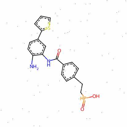 Nc1ccc(-c2cccs2)cc1NC(=O)c1ccc(CC[PH](=O)O)cc1